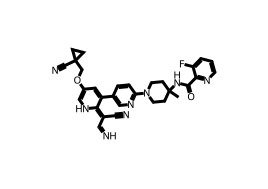 CC1(NC(=O)c2ncccc2F)CCN(c2ccc(C3=CC(OCC4(C#N)CC4)=CN/C3=C(/C#N)C=N)cn2)CC1